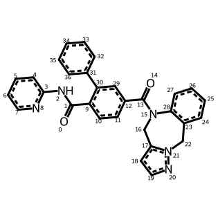 O=C(Nc1ccccn1)c1ccc(C(=O)N2Cc3ccnn3Cc3ccccc32)cc1-c1ccccc1